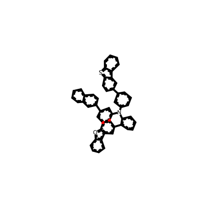 c1cc(-c2ccc3ccccc3c2)cc(N(c2cccc(-c3ccc4sc5ccccc5c4c3)c2)c2ccccc2-c2ccc3oc4ccccc4c3c2)c1